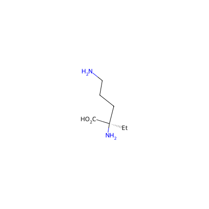 CC[C@@](N)(CCCN)C(=O)O